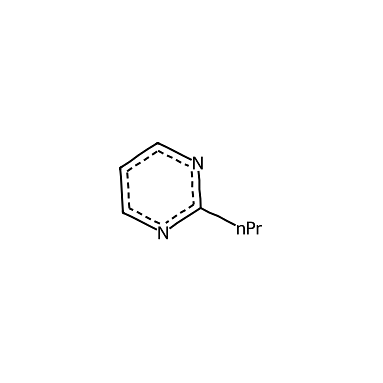 C[CH]Cc1ncccn1